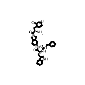 N[C@H](Cc1ccc(Cl)cc1Cl)C(=O)N1Cc2ccc(NC(=O)[C@H](Cc3c[nH]c4ccccc34)NC(=O)OCc3ccccc3)cc2C1